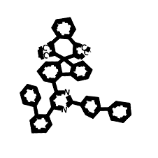 c1ccc(-c2ccc(-c3nc(-c4ccccc4-c4ccccc4)cc(-c4cccc5c4-c4ccccc4C54c5ccccc5-c5ccccc5-c5ccccc54)n3)cc2)cc1